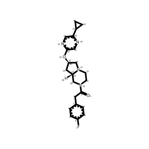 O=C(Cc1ccc(F)cc1)N1CCN2C[C@H](Oc3cnc(C4CC4)cn3)C[C@H]2C1